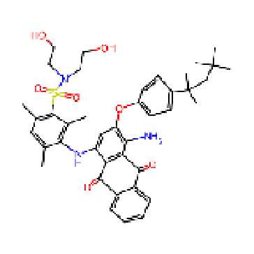 Cc1cc(C)c(S(=O)(=O)N(CCO)CCO)c(C)c1Nc1cc(Oc2ccc(C(C)(C)CC(C)(C)C)cc2)c(N)c2c1C(=O)c1ccccc1C2=O